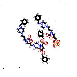 CS(=O)(=O)OCC1CN(CCCN2CCN(Cc3ccccc3)CC2)C(=O)O1.O=C(CC(C(=O)OCc1ccccc1)N1CCN(CC2CN(CCCN3CCN(Cc4ccccc4)CC3)C(=O)O2)CC1)OCc1ccccc1